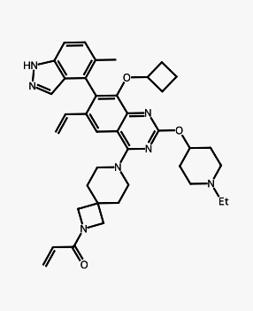 C=CC(=O)N1CC2(CCN(c3nc(OC4CCN(CC)CC4)nc4c(OC5CCC5)c(-c5c(C)ccc6[nH]ncc56)c(C=C)cc34)CC2)C1